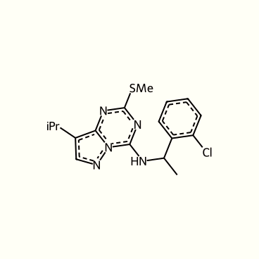 CSc1nc(NC(C)c2ccccc2Cl)n2ncc(C(C)C)c2n1